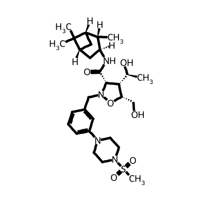 C[C@@H]1[C@@H](NC(=O)[C@@H]2[C@H]([C@H](C)O)[C@H](CO)ON2Cc2cccc(N3CCN(S(C)(=O)=O)CC3)c2)C[C@H]2C[C@@H]1C2(C)C